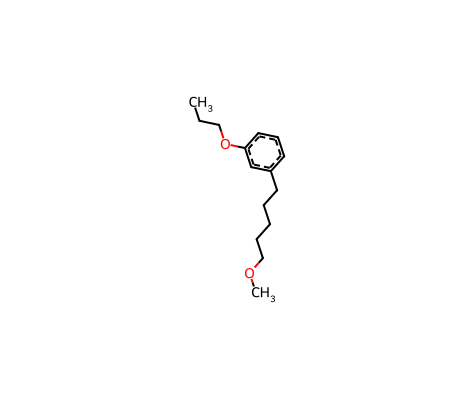 CCCOc1cccc(CCCCCOC)c1